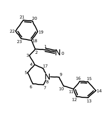 N#CC(CC1CCCN(CCc2ccccc2)C1)c1ccccc1